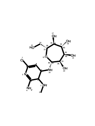 CNC1C(N)=NC(Cl)=CC1N[C@@H]1O[C@H](CO)[C@@H](O)[C@H](O)[C@@H](O)[C@H]1O